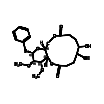 CO[C@@H]1[C@@H](OC)[C@H](Sc2ccccc2)O[C@@H]2COC(=O)CCC(O)C(O)CCC(=O)O[C@@H]12